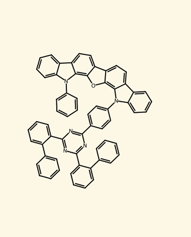 c1ccc(-c2ccccc2-c2nc(-c3ccc(-n4c5ccccc5c5ccc6c7ccc8c9ccccc9n(-c9ccccc9)c8c7oc6c54)cc3)nc(-c3ccccc3-c3ccccc3)n2)cc1